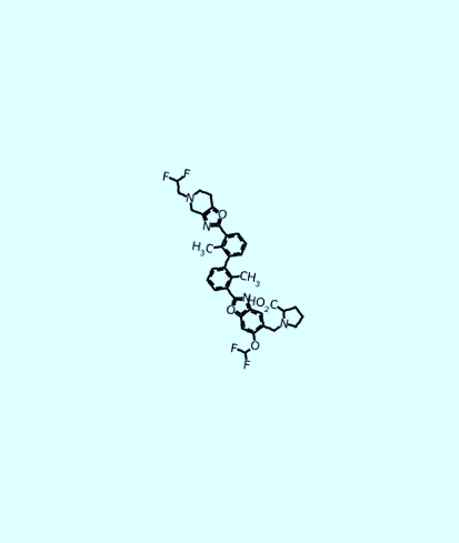 Cc1c(-c2nc3c(o2)CCN(CC(F)F)C3)cccc1-c1cccc(-c2nc3cc(CN4CCCC4C(=O)O)c(OC(F)F)cc3o2)c1C